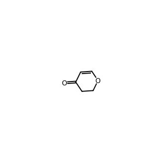 O=C1C=COCC1